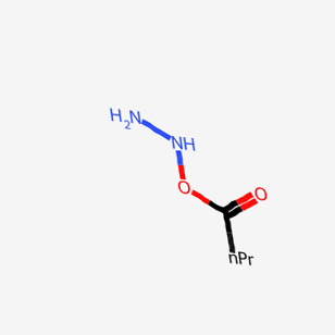 CCCC(=O)ONN